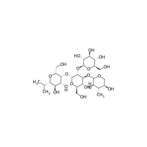 CC(C)[C@@H]1O[C@H](CO)[C@H](O[C@H]2O[C@H](CO)[C@@H](O)[C@H](OC3OC[C@@H](O)[C@H](C)[C@H]3O)[C@H]2O[C@@H]2O[C@H](CO)[C@@H](O)[C@H](O)[C@H]2O)[C@H](O)[C@H]1O